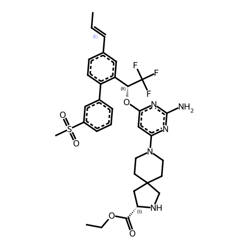 C/C=C/c1ccc(-c2cccc(S(C)(=O)=O)c2)c([C@@H](Oc2cc(N3CCC4(CC3)CN[C@H](C(=O)OCC)C4)nc(N)n2)C(F)(F)F)c1